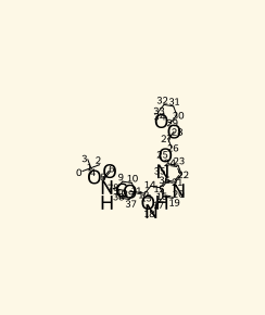 CC(C)(C)OC(=O)NC12CCC(C(O)Cc3c(C#N)cnc4ccc(OCCOC5CCCCO5)nc34)(CC1)OC2